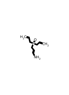 C=CCP(=O)(CC=C)CC=CN